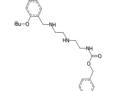 CCC(C)Oc1ccccc1CNCCNCCNC(=O)OCc1ccccc1